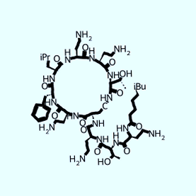 CC[C@H](C)CCCCC(=O)N[C@@H](CCN)C(=O)N[C@H](C(=O)N[C@@H](CCN)C(=O)N[C@H]1CCNC(=O)[C@H]([C@@H](C)O)NC(=O)[C@H](CCN)NC(=O)[C@H](CCN)NC(=O)[C@H](CC(C)C)NC(=O)[C@@H](Cc2ccccc2)NC(=O)[C@H](CCN)NC1=O)[C@@H](C)O